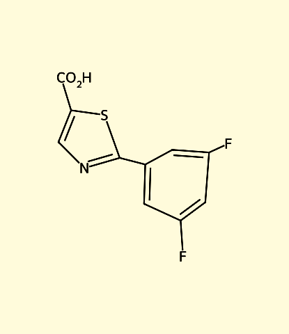 O=C(O)c1cnc(-c2cc(F)cc(F)c2)s1